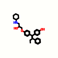 CC/C(=C(/c1ccc(O)cc1)c1ccc(OCC(O)CNC2CCCCC2)cc1)c1ccccc1